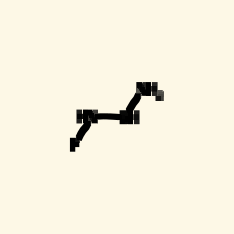 NBNF